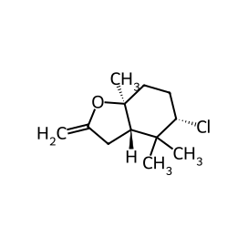 C=C1C[C@H]2C(C)(C)[C@@H](Cl)CC[C@]2(C)O1